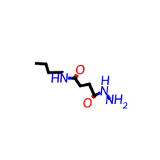 CCCCNC(=O)CCC(=O)NN